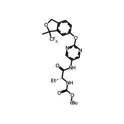 CC[C@@H](NC(=O)OC(C)(C)C)C(=O)Nc1cnc(Oc2ccc3c(c2)C(C)(C(F)(F)F)OC3)nc1